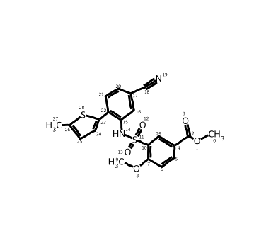 COC(=O)c1ccc(OC)c(S(=O)(=O)Nc2cc(C#N)ccc2-c2ccc(C)s2)c1